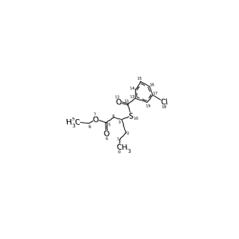 CCCC(CC(=O)OCC)SC(=O)c1cccc(Cl)c1